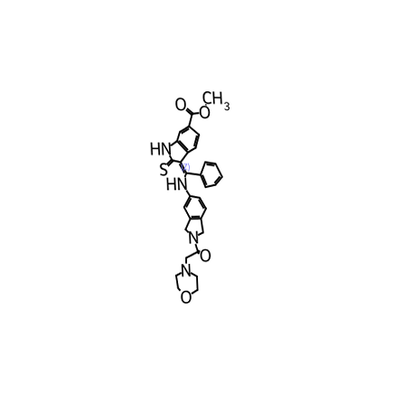 COC(=O)c1ccc2c(c1)NC(=S)/C2=C(\Nc1ccc2c(c1)CN(C(=O)CN1CCOCC1)C2)c1ccccc1